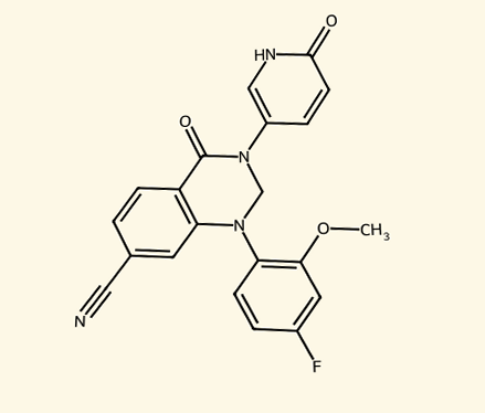 COc1cc(F)ccc1N1CN(c2ccc(=O)[nH]c2)C(=O)c2ccc(C#N)cc21